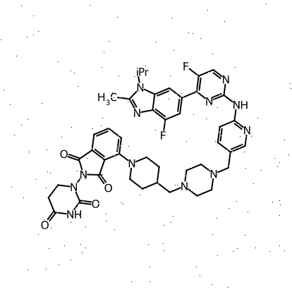 Cc1nc2c(F)cc(-c3nc(Nc4ccc(CN5CCN(CC6CCN(c7cccc8c7C(=O)N(N7CCC(=O)NC7=O)C8=O)CC6)CC5)cn4)ncc3F)cc2n1C(C)C